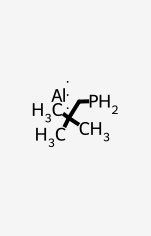 CC(C)(C)CP.[Al]